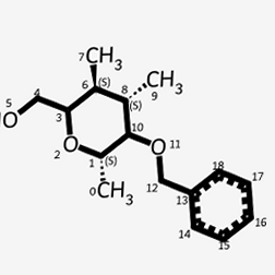 C[C@@H]1OC(CO)[C@@H](C)[C@H](C)C1OCc1ccccc1